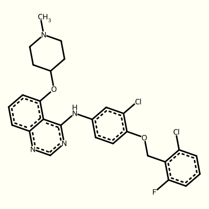 CN1CCC(Oc2cccc3ncnc(Nc4ccc(OCc5c(F)cccc5Cl)c(Cl)c4)c23)CC1